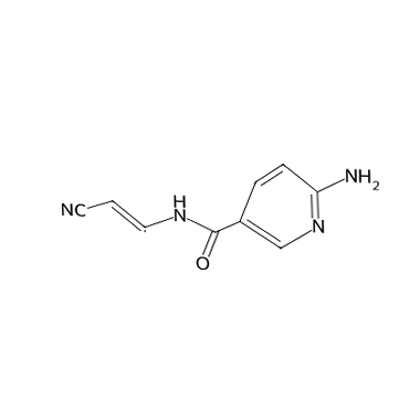 N#CC=[C]NC(=O)c1ccc(N)nc1